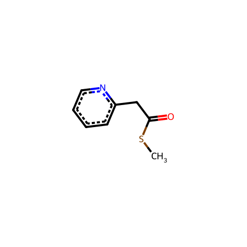 CSC(=O)Cc1ccccn1